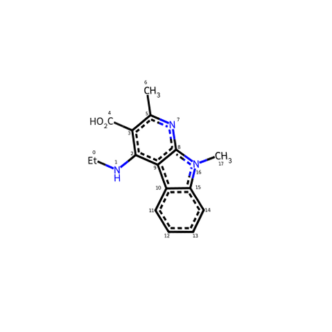 CCNc1c(C(=O)O)c(C)nc2c1c1ccccc1n2C